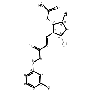 O=C(O)C[C@H]1[C@H](C=CC(=O)COc2cccc(Cl)c2)[C@@H](O)C[C@@H]1Cl